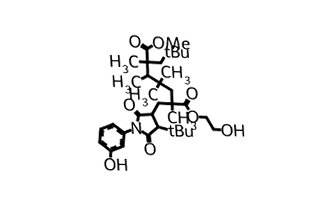 COC(=O)C(C)(CC(C)(C)C)C(C)C(C)(C)CC(C)(CC1C(=O)N(c2cccc(O)c2)C(=O)C1C(C)(C)C)C(=O)OCCO